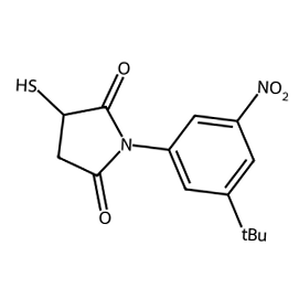 CC(C)(C)c1cc(N2C(=O)CC(S)C2=O)cc([N+](=O)[O-])c1